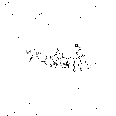 CCOOP(=O)(OOCC)C(CC(=O)N[C@]1(OC)C(=O)N2C(C(=O)O)=C(COC(N)=O)CS[C@H]21)P(=O)(OOCC)OOCC